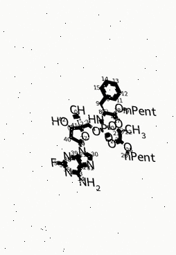 C#C[C@]1(COP(=O)(N[C@@H](Cc2ccccc2)C(=O)OCCCCC)O[C@@H](C)C(=O)OCCCCC)O[C@@H](n2cnc3c(N)nc(F)nc32)C[C@@H]1O